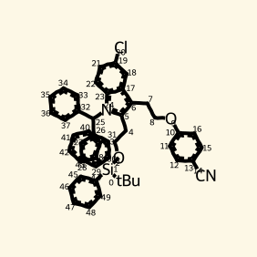 CC(C)(C)[Si](OCCc1c(CCOc2ccc(C#N)cc2)c2cc(Cl)ccc2n1C(c1ccccc1)c1ccccc1)(c1ccccc1)c1ccccc1